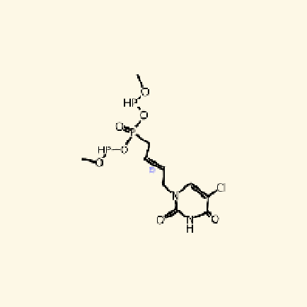 COPOP(=O)(C/C=C/Cn1cc(Cl)c(=O)[nH]c1=O)OPOC